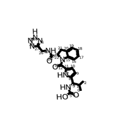 CC(C)[C@H](NC(=O)O)c1ccc(C(=O)N2c3ccccc3C[C@H]2C(=O)NCc2nn[nH]n2)[nH]1